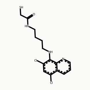 O=C(CS)NCCCCNc1c(Cl)cc(Cl)c2cccnc12